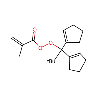 C=C(C)C(=O)OOC(C1=CCCC1)(C1=CCCC1)C(C)(C)C